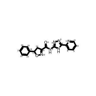 O=C(Nc1nnc(-c2ccccn2)[nH]1)C1=NOC(c2ccccc2)C1